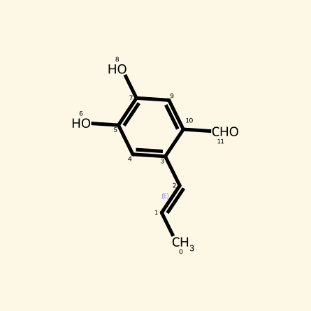 C/C=C/c1cc(O)c(O)cc1C=O